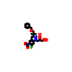 CC(C)(C=Cc1cc([N+](=O)[O-])c(F)cc1NC[C@@H](O)CO)COCc1ccccc1